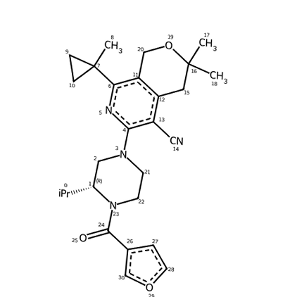 CC(C)[C@@H]1CN(c2nc(C3(C)CC3)c3c(c2C#N)CC(C)(C)OC3)CCN1C(=O)c1ccoc1